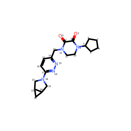 O=C1C(=O)N(C2CCCC2)CCN1Cc1ccc(N2CC3CC3C2)nn1